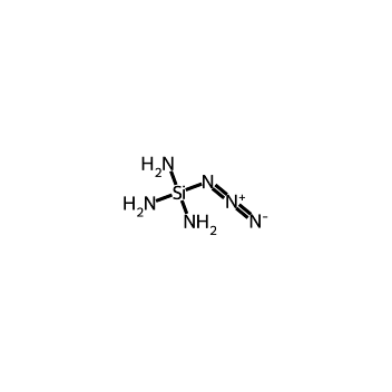 [N-]=[N+]=N[Si](N)(N)N